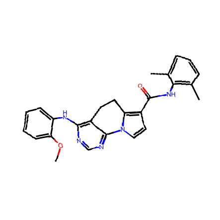 COc1ccccc1Nc1ncnc2c1CCc1c(C(=O)Nc3c(C)cccc3C)ccn1-2